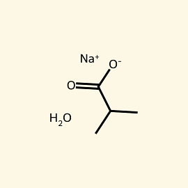 CC(C)C(=O)[O-].O.[Na+]